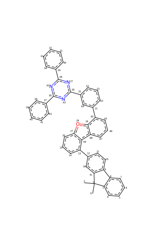 CC1(C)c2ccccc2-c2ccc(-c3cccc4oc5c(-c6cccc(-c7nc(-c8ccccc8)nc(-c8ccccc8)n7)c6)cccc5c34)cc21